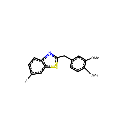 COc1ccc(Cc2nc3ccc(C(F)(F)F)cc3s2)cc1OC